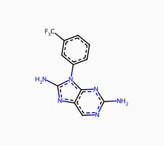 Nc1ncc2nc(N)n(-c3cccc(C(F)(F)F)c3)c2n1